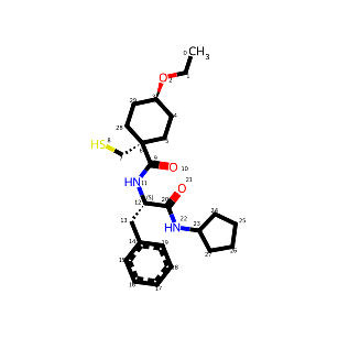 CCO[C@H]1CC[C@@](CS)(C(=O)N[C@@H](Cc2ccccc2)C(=O)NC2CCCC2)CC1